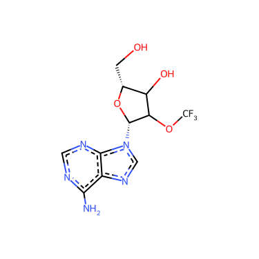 Nc1ncnc2c1ncn2[C@@H]1O[C@H](CO)C(O)C1OC(F)(F)F